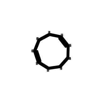 [C]1=CCCCC=CCC1